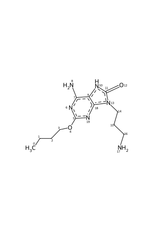 CCCCOc1nc(N)c2[nH]c(=O)n(CCCN)c2n1